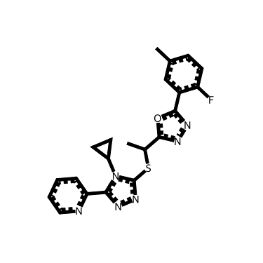 Cc1ccc(F)c(-c2nnc(C(C)Sc3nnc(-c4ccccn4)n3C3CC3)o2)c1